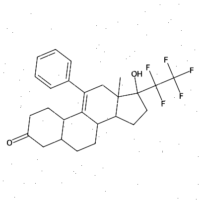 CC12CC(c3ccccc3)=C3C4CCC(=O)CC4CCC3C1CCC2(O)C(F)(F)C(F)(F)F